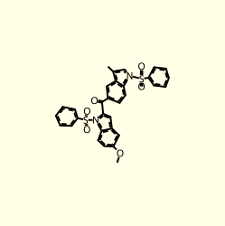 COc1ccc2c(c1)cc(C(=O)c1ccc3c(c1)c(C)cn3S(=O)(=O)c1ccccc1)n2S(=O)(=O)c1ccccc1